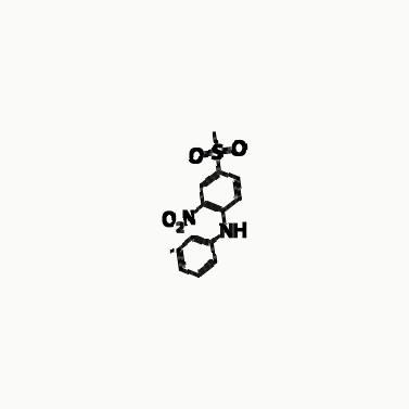 CS(=O)(=O)c1ccc(Nc2c[c]ccc2)c([N+](=O)[O-])c1